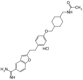 CC(=O)NCC1CCC(COc2ccc(CCc3cc4cc(C(=N)N)ccc4o3)cc2)CC1.Cl